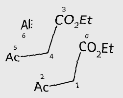 CCOC(=O)CC(C)=O.CCOC(=O)CC(C)=O.[Al]